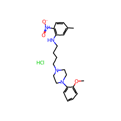 COc1ccccc1N1CCN(CCCCNc2cc(C)ccc2[N+](=O)[O-])CC1.Cl